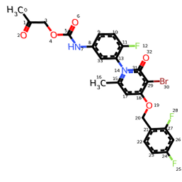 CC(=O)COC(=O)Nc1ccc(F)c(-n2c(C)cc(OCc3ccc(F)cc3F)c(Br)c2=O)c1